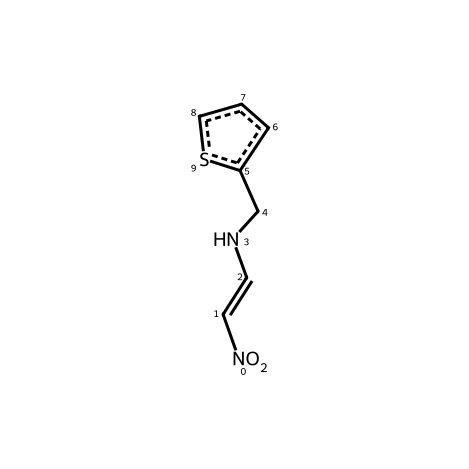 O=[N+]([O-])C=CNCc1cccs1